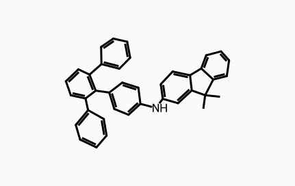 CC1(C)c2ccccc2-c2ccc(Nc3ccc(-c4c(-c5ccccc5)cccc4-c4ccccc4)cc3)cc21